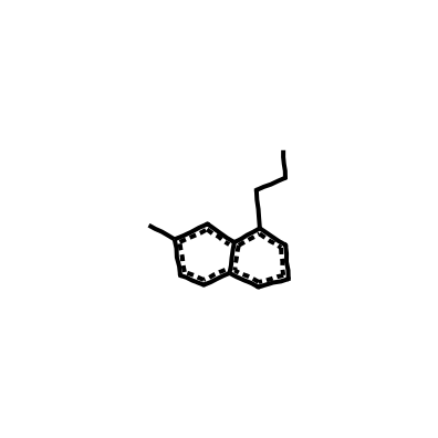 CCCc1cccc2ccc(C)cc12